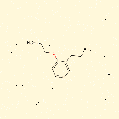 [CH2]CCc1ccccc1OCCC